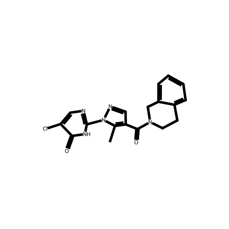 Cc1c(C(=O)N2CCc3ccccc3C2)cnn1-c1ncc(Cl)c(=O)[nH]1